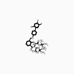 COC(=O)c1cccc(COc2ccc(-c3cc(F)c(F)cc3F)cc2)c1NN(C[C@H]1COC(C)(C)O1)C(=O)OC(C)(C)C